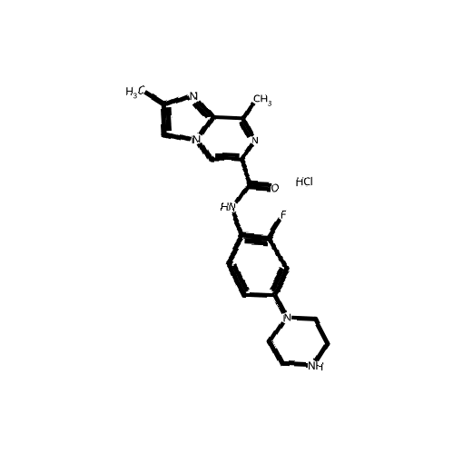 Cc1cn2cc(C(=O)Nc3ccc(N4CCNCC4)cc3F)nc(C)c2n1.Cl